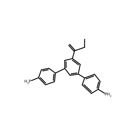 C=C(CC)c1cc(-c2ccc(P)cc2)cc(-c2ccc(P)cc2)c1